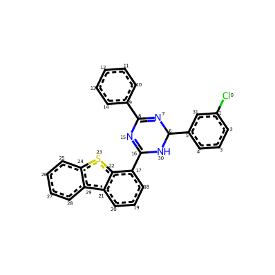 Clc1cccc(C2N=C(c3ccccc3)N=C(c3cccc4c3sc3ccccc34)N2)c1